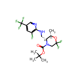 C[C@@H]1OC(F)(F)CN(C(=O)OC(C)(C)C)[C@@H]1CNc1ncc(C(F)(F)F)cc1F